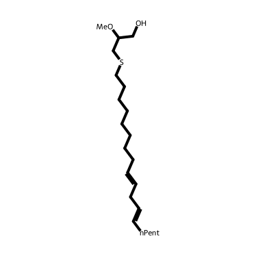 CCCCC/C=C/C/C=C/CCCCCCCCSCC(CO)OC